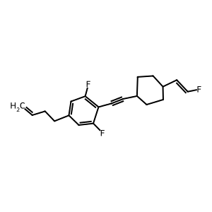 C=CCCc1cc(F)c(C#CC2CCC(C=CF)CC2)c(F)c1